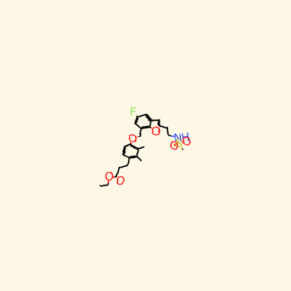 CCOC(=O)CCc1ccc(OCc2cc(F)cc3cc(CCNS(C)(=O)=O)oc23)c(C)c1C